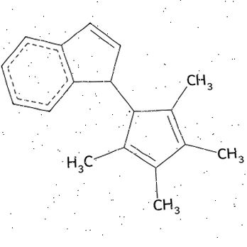 CC1=C(C)C(C)=C(C)[C]1C1C=Cc2ccccc21